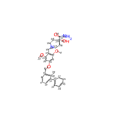 COc1cc(OCc2cccc(-c3ccccc3)c2C)cc(OC)c1CN1CCC(O)(C(N)=O)CC1